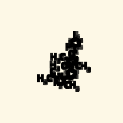 Cc1cnc(C(C)C)nc1-c1cccc(-n2c(C)nc(OCc3ccc(F)cc3F)c(C)c2=O)c1